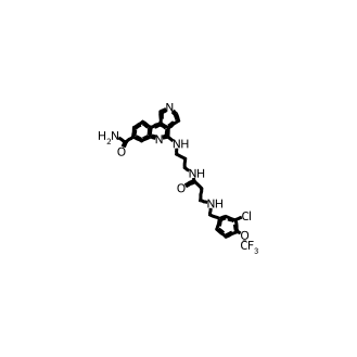 NC(=O)c1ccc2c(c1)nc(NCCCNC(=O)CCNCc1ccc(OC(F)(F)F)c(Cl)c1)c1ccncc12